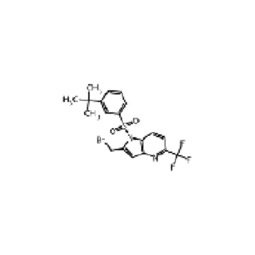 CC(C)(C)c1cccc(S(=O)(=O)n2c(CBr)cc3nc(C(F)(F)F)ccc32)c1